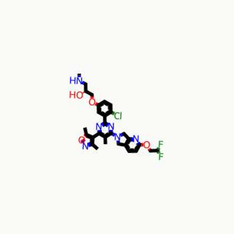 CNC[C@@H](O)COc1ccc(Cl)c(-c2nc(-c3c(C)noc3C)c(C)c(N3Cc4ccc(OCC(F)F)nc4C3)n2)c1